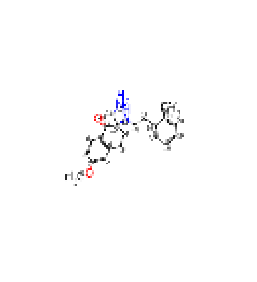 COc1ccc2c(c1)CCC(CN)(NCCc1ccccc1C)C2=O